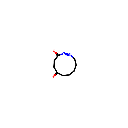 O=C1CCCCCN=NC(=O)CC1